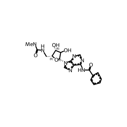 CNC(=O)NC[C@H]1O[C@@H](n2cnc3c(NC(=O)c4ccccc4)ncnc32)C(O)[C@H]1O